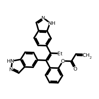 C=CC(=O)Oc1ccccc1/C(=C(\CC)c1ccc2cn[nH]c2c1)c1ccc2[nH]ncc2c1